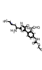 CCC/C=C/CC(N)c1nc(-c2ccc(NC(=O)OCC(=O)O)cc2NC=O)c(Cl)[nH]1